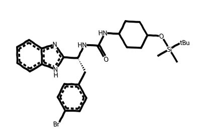 CC(C)(C)[Si](C)(C)OC1CCC(NC(=O)N[C@H](Cc2ccc(Br)cc2)c2nc3ccccc3[nH]2)CC1